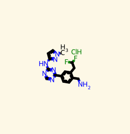 Cl.Cn1ccc(Nc2ncnc(-c3ccc(CN)c(CC(F)F)c3)n2)n1